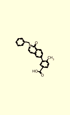 Cc1ccc(C(=O)O)cc1-c1ccc2c(=O)n(Cc3ccccc3)ccc2c1